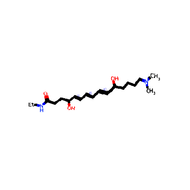 CCNC(=O)CCC(O)/C=C/C=C/C=C/C(O)CCCCN(C)C